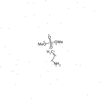 C=CCN.COS(=O)(=O)OC